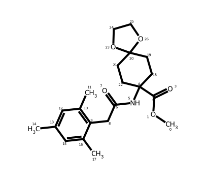 COC(=O)C1(NC(=O)Cc2c(C)cc(C)cc2C)CCC2(CC1)OCCO2